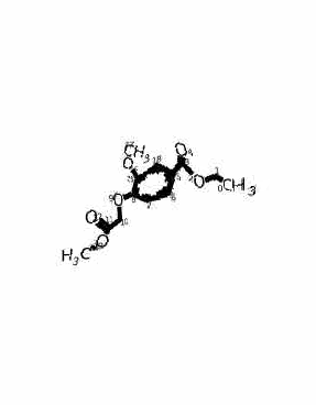 CCOC(=O)c1ccc(OCC(=O)OC)c(OC)c1